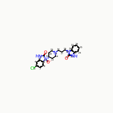 O=C1Nc2cc(Cl)ccc2[N+]1([O-])C1CCN(CCCn2c(=O)[nH]c3ccccc32)CC1